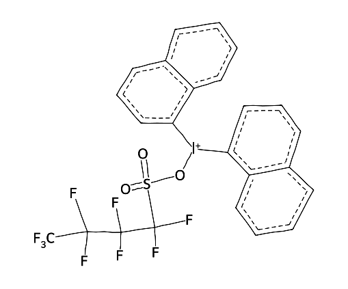 O=S(=O)(O[I+](c1cccc2ccccc12)c1cccc2ccccc12)C(F)(F)C(F)(F)C(F)(F)C(F)(F)F